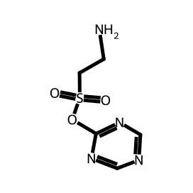 NCCS(=O)(=O)Oc1ncncn1